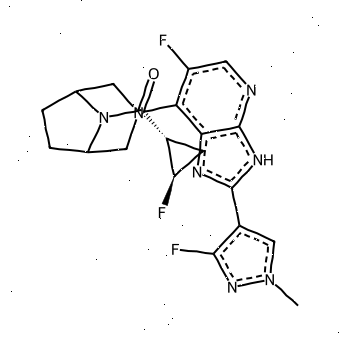 Cn1cc(-c2nc3c(N4CC5CCC(C4)N5C(=O)[C@@H]4C[C@H]4F)c(F)cnc3[nH]2)c(F)n1